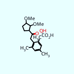 COC1CCC(C(=O)Cc2c(C)cc(C)cc2C)C1OC.O=C(O)O